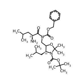 CC(C)C[C@H](N)C(=O)N(CC1OC(C)(C)N(C(=O)OC(C)(C)C)[C@H]1CC(C)C)C(=O)OCc1ccccc1